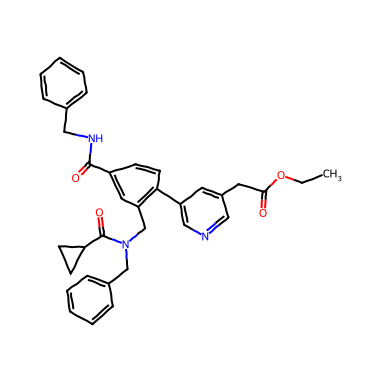 CCOC(=O)Cc1cncc(-c2ccc(C(=O)NCc3ccccc3)cc2CN(Cc2ccccc2)C(=O)C2CC2)c1